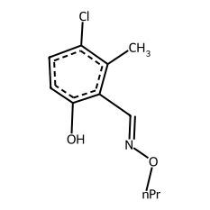 CCCO/N=C/c1c(O)ccc(Cl)c1C